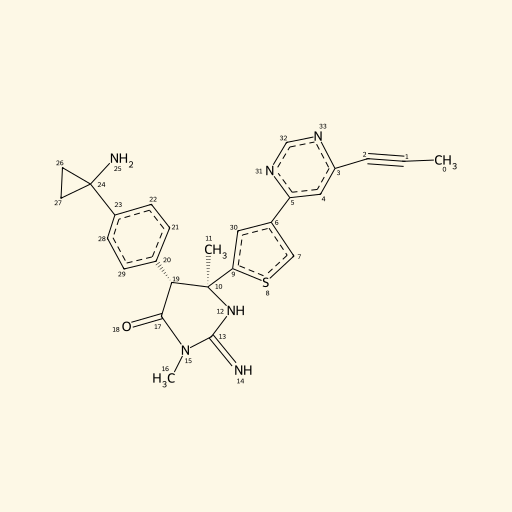 CC#Cc1cc(-c2csc([C@@]3(C)NC(=N)N(C)C(=O)[C@@H]3c3ccc(C4(N)CC4)cc3)c2)ncn1